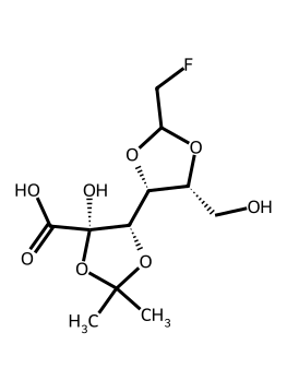 CC1(C)O[C@@H]([C@@H]2OC(CF)O[C@@H]2CO)[C@](O)(C(=O)O)O1